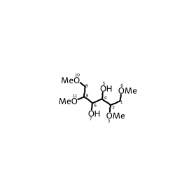 COCC(OC)C(O)C(O)C(COC)OC